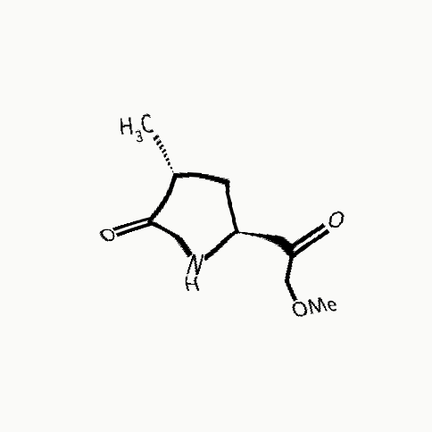 COC(=O)[C@@H]1C[C@@H](C)C(=O)N1